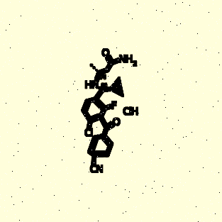 C[C@H](CC(N)=O)N[C@@H](c1ccc(Cl)c(C(=O)c2ccc(C#N)cc2)c1F)C1CC1.Cl